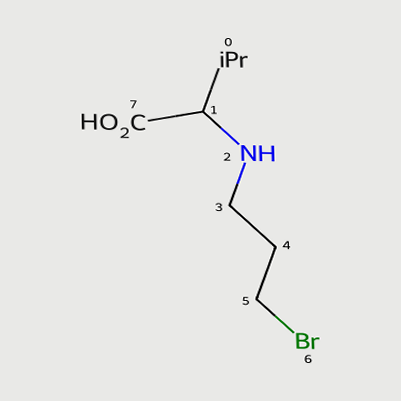 CC(C)C(NCCCBr)C(=O)O